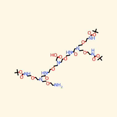 CC(C)(C)OC(=O)NCCOCCN(CCOCCN)CC(=O)NCCOCCN(CCOCCNC(=O)CN(CCOCCNC(=O)OC(C)(C)C)CCOCCNC(=O)OC(C)(C)C)CC(=O)O